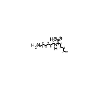 CCCCCC(NCCCCCCN)C(=O)O